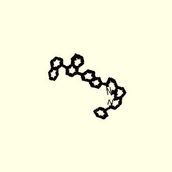 c1ccc(-c2ccc3ccc4ccc(-c5ccc6cc(-c7ccc(-c8cccc9ccccc89)c8ccccc78)ccc6c5)nc4c3n2)cc1